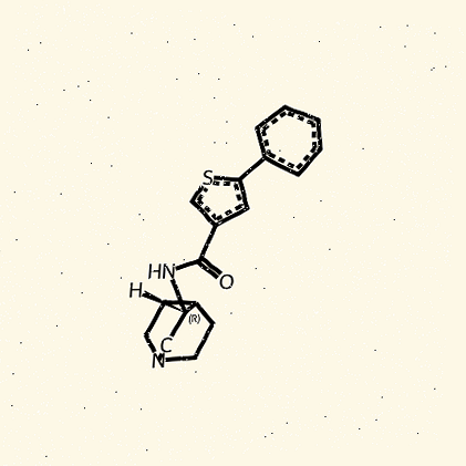 O=C(N[C@H]1CN2CCC1CC2)c1csc(-c2ccccc2)c1